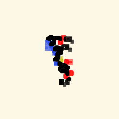 CCOC(=O)C1CCC(c2ncc(-c3cc(C)cc(Nc4cc(CC(=O)OC)ccn4)n3)s2)C(O)C1